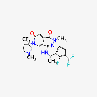 C[C@@H](Nc1nn(C)c(=O)c2cc(=O)n(C3(C(F)(F)F)CCN(C)C3)cc12)c1cccc(C(F)F)c1F